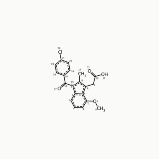 COc1cccc2c1c(CC(=O)O)c(C)n2C(=O)c1ccc(Cl)cc1